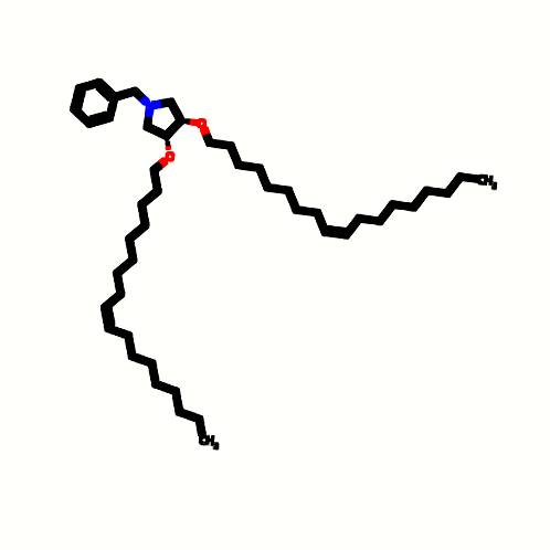 CCCCCCCC/C=C\CCCCCCCCO[C@@H]1CN(Cc2ccccc2)C[C@H]1OCCCCCCCC/C=C\CCCCCCCC